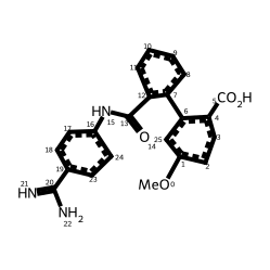 COc1ccc(C(=O)O)c(-c2ccccc2C(=O)Nc2ccc(C(=N)N)cc2)c1